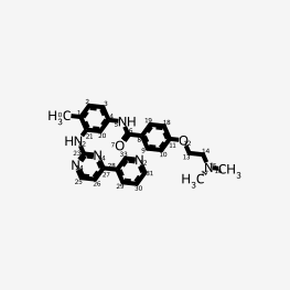 Cc1ccc(NC(=O)c2ccc(OCCN(C)C)cc2)cc1Nc1nccc(-c2cccnc2)n1